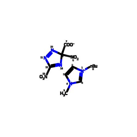 CCCC[n+]1ccn(C)c1.O=C([O-])C1([N+](=O)[O-])N=NC([N+](=O)[O-])=N1